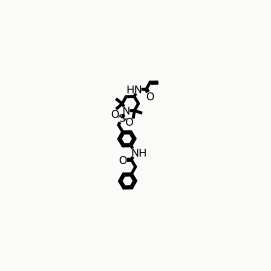 C=CC(=O)NC1CC(C)(C)N(S(=O)(=O)Cc2ccc(NC(=O)Cc3ccccc3)cc2)C(C)(C)C1